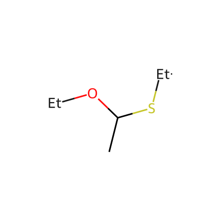 C[CH]SC(C)OCC